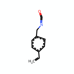 C=Cc1ccc(CN=C=O)cc1